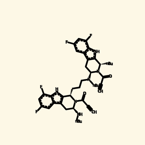 C#CC(=O)N1[C@@H](NCCCC)Cc2c([nH]c3c(F)cc(F)cc23)[C@@H]1CCCN(CCCC)[C@H]1Cc2c([nH]c3c(F)cc(F)cc23)[C@H](CCCC)N1C(=O)C#C